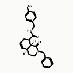 COc1ccc(CNC(=O)C2CC=C[C@@H]3CCN(Cc4ccccc4)C(=O)[C@H]23)cc1